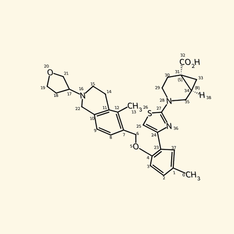 Cc1ccc(OCc2ccc3c(c2C)CCN(C2CCOC2)C3)c(-c2csc(N3CC[C@@]4(C(=O)O)C[C@H]4C3)n2)c1